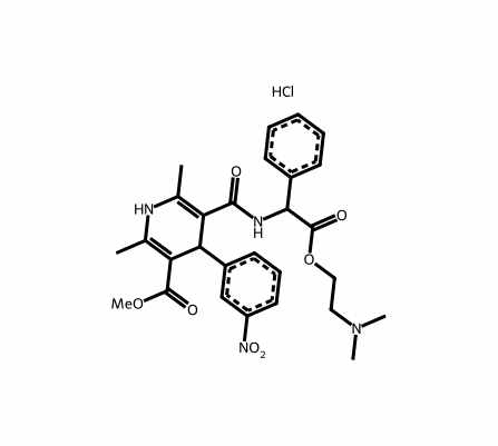 COC(=O)C1=C(C)NC(C)=C(C(=O)NC(C(=O)OCCN(C)C)c2ccccc2)C1c1cccc([N+](=O)[O-])c1.Cl